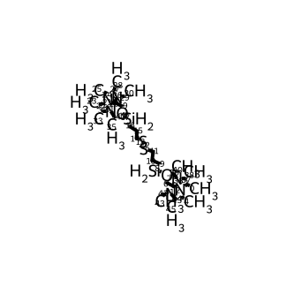 CCN(CC)C(CO[SiH2]CCCSSCCC[SiH2]OCC(N(CC)CC)(N(CC)CC)N(CC)CC)(N(CC)CC)N(CC)CC